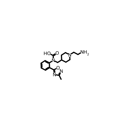 Cc1noc(-c2ccccc2N(CC2CCN(CCN)CC2)C(=O)O)n1